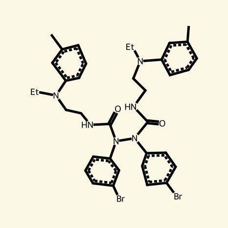 CCN(CCNC(=O)N(c1ccc(Br)cc1)N(C(=O)NCCN(CC)c1cccc(C)c1)c1cccc(Br)c1)c1cccc(C)c1